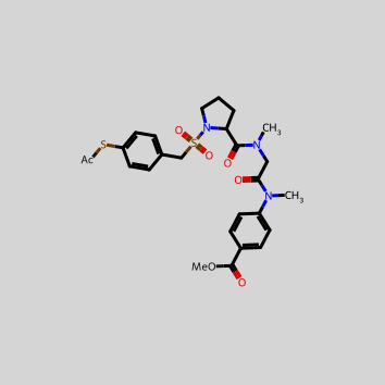 COC(=O)c1ccc(N(C)C(=O)CN(C)C(=O)C2CCCN2S(=O)(=O)Cc2ccc(SC(C)=O)cc2)cc1